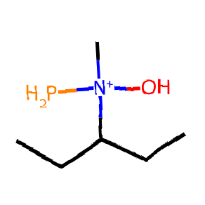 CCC(CC)[N+](C)(O)P